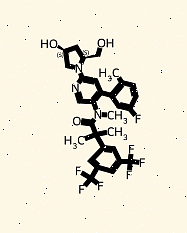 Cc1ccc(F)cc1-c1cc(N2C[C@@H](O)C[C@H]2CO)ncc1N(C)C(=O)C(C)(C)c1cc(C(F)(F)F)cc(C(F)(F)F)c1